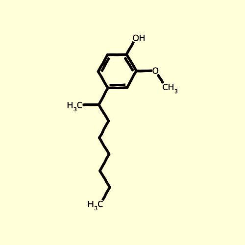 CCCCCCC(C)c1ccc(O)c(OC)c1